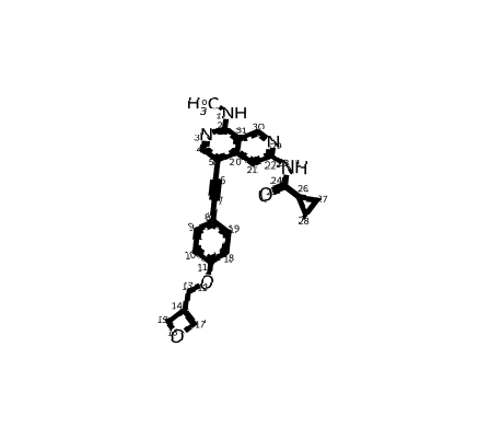 CNc1ncc(C#Cc2ccc(OCC3COC3)cc2)c2cc(NC(=O)C3CC3)ncc12